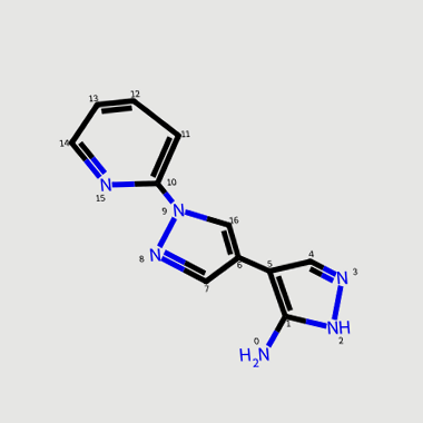 Nc1[nH]ncc1-c1cnn(-c2ccccn2)c1